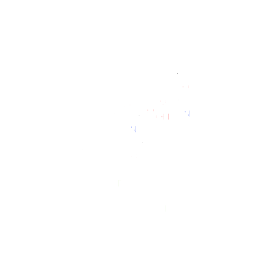 CC(C)(C)OC(=O)N1CCCCC1[C@@H](O)[C@H](Cc1cc(F)cc(F)c1)C(=O)N1C(=O)OCC1Cc1ccccc1